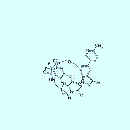 CC(=O)c1nn2c3c(cc(-c4cnc(C)nc4)cc13)COCC=CC(F)(F)C(=O)NC[C@@]13C[C@@H](C(=O)Nc4nc(C(F)(F)F)ccc4C)N(C(=O)C2)[C@@H]1C3